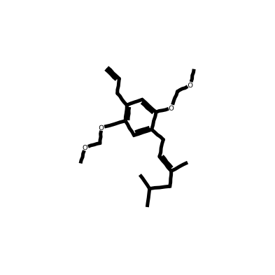 C=CCc1cc(OCOC)c(C/C=C(\C)CC(C)C)cc1OCOC